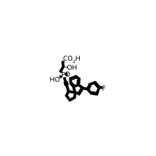 O=C(O)C[C@H](O)CP(=O)(O)C#CC1CCCC12C=C(c1ccc(F)cc1)c1ccccc12